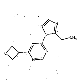 CCc1ncnn1-c1cc(C2COC2)ncn1